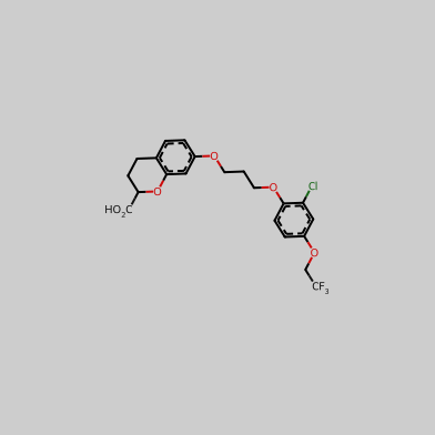 O=C(O)C1CCc2ccc(OCCCOc3ccc(OCC(F)(F)F)cc3Cl)cc2O1